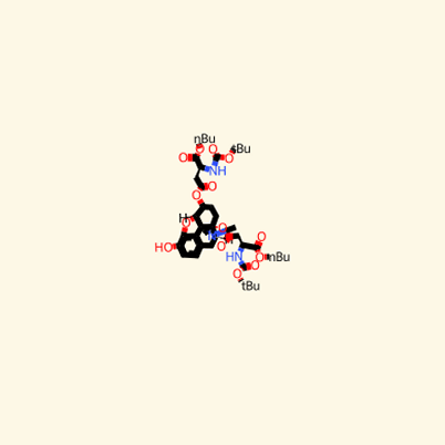 CCCCOC(=O)[C@H](CC(=O)OC1CC[C@@]2(OC(=O)C[C@H](NC(=O)OC(C)(C)C)C(=O)OCCCC)[C@H]3Cc4ccc(O)c5c4[C@@]2(CCN3C)[C@H]1O5)NC(=O)OC(C)(C)C